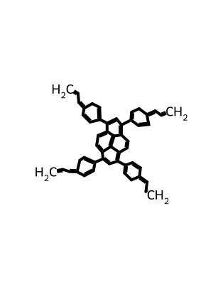 C=CC=C1C=CC(c2cc(C3=CCC(=CC=C)C=C3)c3ccc4c(C5=CCC(=CC=C)C=C5)cc(C5=CCC(=CC=C)C=C5)c5ccc2c3c54)=CC1